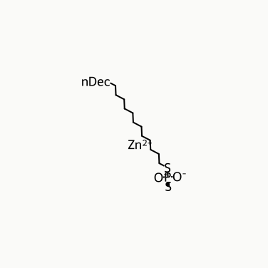 CCCCCCCCCCCCCCCCCCCCCCSP([O-])([O-])=S.[Zn+2]